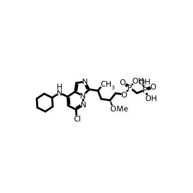 CO[C@H](COP(=O)(O)CP(=O)(O)O)CC(C)c1ncc2c(NC3CCCCC3)cc(Cl)nn12